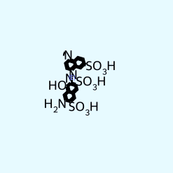 C=Nc1ccc(/N=N/c2c(S(=O)(=O)O)cc3cc(S(=O)(=O)O)c(N)cc3c2O)c2cc(S(=O)(=O)O)ccc12